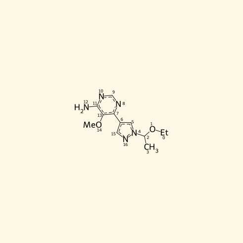 CCOC(C)n1cc(-c2ncnc(N)c2OC)cn1